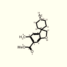 COC(=O)c1cc2c(cc1C)C1(CCN(C(C)=O)CC1)CO2